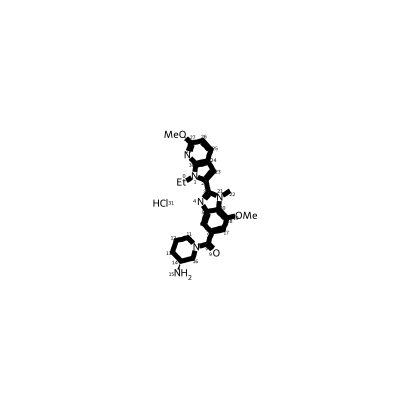 CCn1c(-c2nc3cc(C(=O)N4CCC[C@@H](N)C4)cc(OC)c3n2C)cc2ccc(OC)nc21.Cl